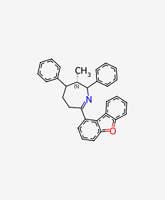 C[C@H]1C(c2ccccc2)CCC(c2cccc3oc4ccccc4c23)=NC1c1ccccc1